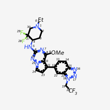 CCN1CC[C@@H](Nc2nc(OC)c3c(-c4ccc5nnn(CC(F)(F)F)c5c4)ccn3n2)C(F)(F)C1